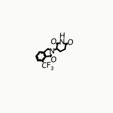 O=C1CCC(N2Cc3cccc(C(F)(F)F)c3C2=O)C(=O)N1